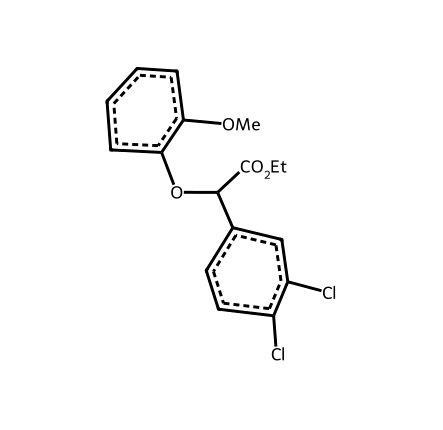 CCOC(=O)C(Oc1ccccc1OC)c1ccc(Cl)c(Cl)c1